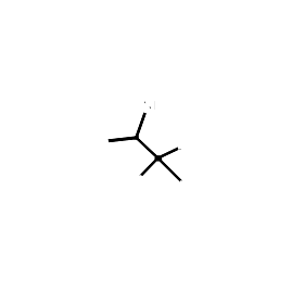 [CH2]C(N)C(F)(F)F